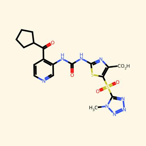 Cn1nnnc1S(=O)(=O)c1sc(NC(=O)Nc2cnccc2C(=O)C2CCCC2)nc1C(=O)O